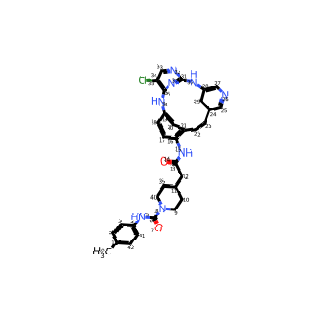 Cc1ccc(NC(=O)N2CCC(CC(=O)Nc3ccc4cc3CCC3C=NC=C(C3)Nc3ncc(Cl)c(n3)N4)CC2)cc1